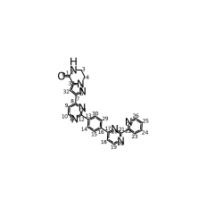 O=C1NCCn2nc(-c3ccnc(-c4ccc(-c5ccnc(-c6ccccn6)n5)cc4)n3)cc21